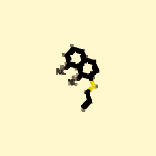 C=CCSc1ccc2cccc(C#N)c2c1C#N